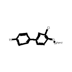 CCCCCOc1ccc(-c2ccc(CC)cc2)cc1Cl